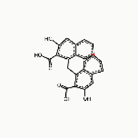 O=C(O)c1c(O)cc2ccccc2c1Cc1c(C(=O)O)c(O)cc2ccccc12